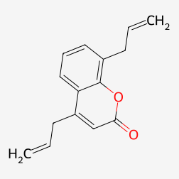 C=CCc1cc(=O)oc2c(CC=C)cccc12